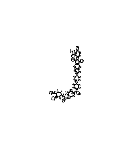 N#Cc1ccc(N2CC3(CCN(C(=O)c4ccc(N5CCC(N6Cc7cc8c(cc7C6)C(=O)N(C6CCC(=O)NC6=O)C8=O)CC5)cc4)CC3)CC2=O)cc1Cl